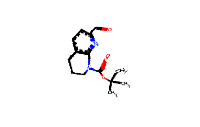 CC(C)(C)OC(=O)N1CCCc2ccc(C=O)nc21